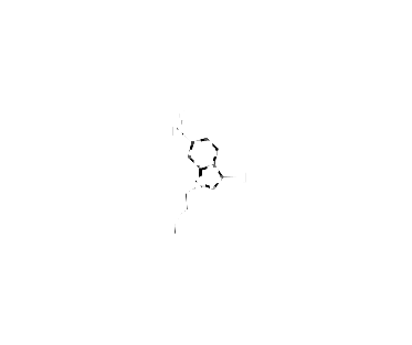 COCCn1cc(Cl)c2ccc(NO)cc21